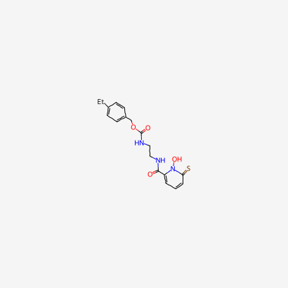 CCc1ccc(COC(=O)NCCNC(=O)c2cccc(=S)n2O)cc1